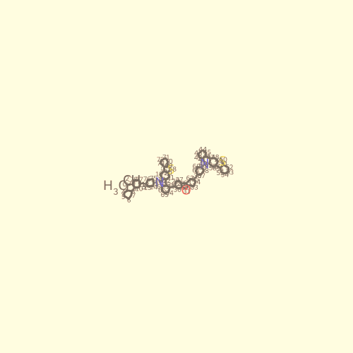 CC1(C)c2ccccc2-c2cc(-c3ccc(-n4c5cc6c(cc5c5c(-c7ccc8c(c7)oc7ccc(-c9ccc(-n%10c%11ccccc%11c%11cc%12sc%13ccccc%13c%12cc%11%10)cc9)cc78)cccc54)sc4ccccc46)cc3)ccc21